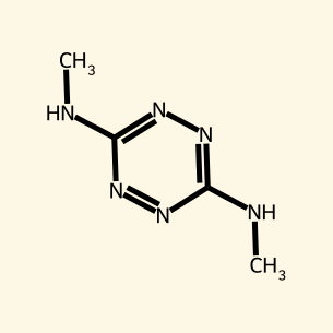 CNc1nnc(NC)nn1